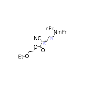 CCCN(/C=C/C=C(\C#N)C(=O)OCCOCC)CCC